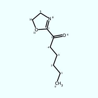 CCCCCC(=O)C1=NCCO1